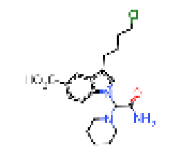 NC(=O)C(N1CCCCC1)n1cc(CCCCCl)c2cc(C(=O)O)ccc21